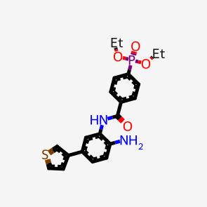 CCOP(=O)(OCC)c1ccc(C(=O)Nc2cc(-c3ccsc3)ccc2N)cc1